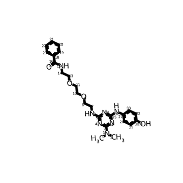 CN(C)c1nc(NCCOCCOCCNC(=O)c2ccccc2)nc(Nc2ccc(O)cc2)n1